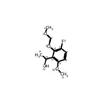 COCOc1c(F)ccc(OC)c1C(C)O